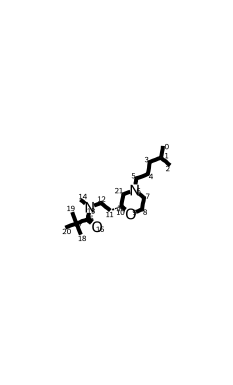 CC(C)CCCN1CCO[C@H](CCN(C)C(=O)C(C)(C)C)C1